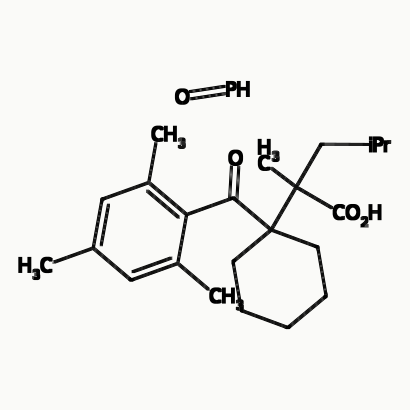 Cc1cc(C)c(C(=O)C2(C(C)(CC(C)C)C(=O)O)CCCCC2)c(C)c1.O=P